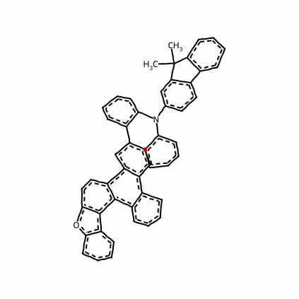 CC1(C)c2ccccc2-c2ccc(N(c3ccccc3)c3ccccc3-c3ccc4c5ccccc5c5c(ccc6oc7ccccc7c65)c4c3)cc21